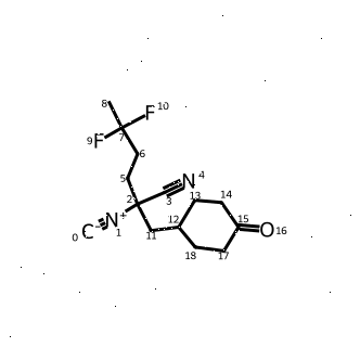 [C-]#[N+]C(C#N)(CCC(C)(F)F)CC1CCC(=O)CC1